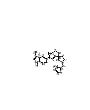 CCC(C)c1c[nH]c2ncc(-c3cc4n(n3)CCC43CCN(Cc4ncc[nH]4)C3)cc12